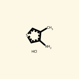 Cc1cscc1N.Cl